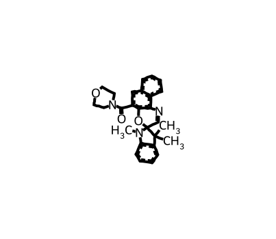 CN1c2ccccc2C(C)(C)C12C=Nc1c(c(C(=O)N3CCOCC3)cc3ccccc13)O2